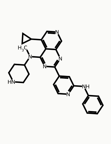 CN(c1nc(-c2ccnc(Nc3ccccc3)c2)nc2cncc(C3CC3)c12)C1CCNCC1